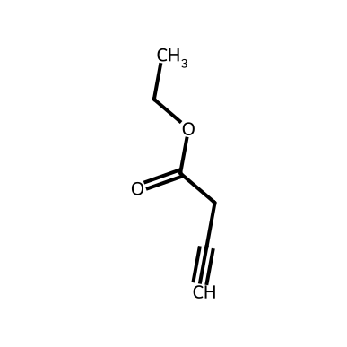 C#CCC(=O)OCC